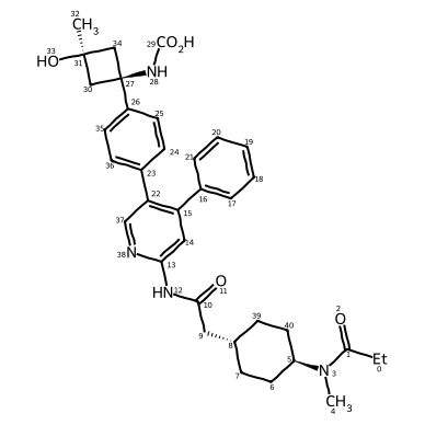 CCC(=O)N(C)[C@H]1CC[C@H](CC(=O)Nc2cc(-c3ccccc3)c(-c3ccc([C@]4(NC(=O)O)C[C@@](C)(O)C4)cc3)cn2)CC1